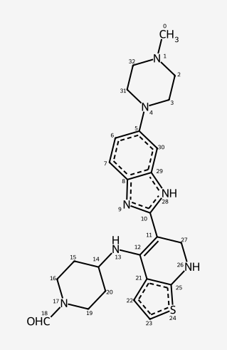 CN1CCN(c2ccc3nc(C4=C(NC5CCN(C=O)CC5)c5ccsc5NC4)[nH]c3c2)CC1